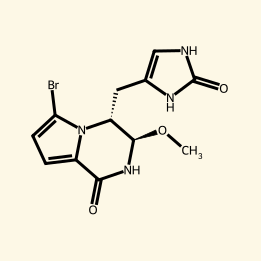 CO[C@H]1NC(=O)c2ccc(Br)n2[C@@H]1Cc1c[nH]c(=O)[nH]1